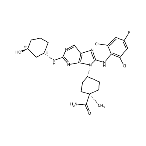 C[C@]1(C(N)=O)CC[C@H](n2c(Nc3c(Cl)cc(F)cc3Cl)nc3cnc(N[C@H]4CCC[C@H](O)C4)nc32)CC1